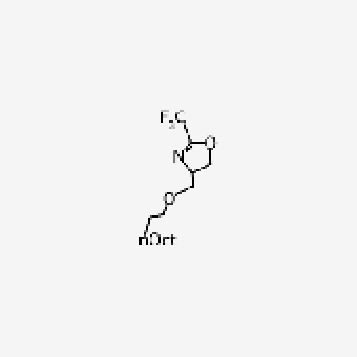 CCCCCCCCCCOCC1COC(C(F)(F)F)=N1